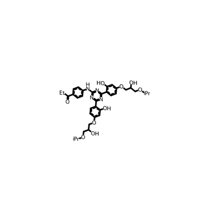 CCC(=O)c1ccc(Nc2nc(-c3ccc(OCC(O)COC(C)C)cc3O)nc(-c3ccc(OCC(O)COC(C)C)cc3O)n2)cc1